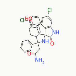 NC(=O)CC(NC1(Cc2cccc(Cl)c2)C(=O)Nc2cc(Cl)ccc21)(c1ccccc1)C1CCC(O)CC1